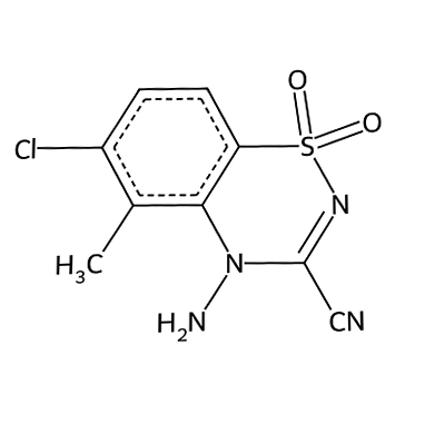 Cc1c(Cl)ccc2c1N(N)C(C#N)=NS2(=O)=O